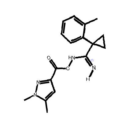 [H]/N=C(\NOC(=O)c1cc(C)n(C)n1)C1(c2ccccc2C)CC1